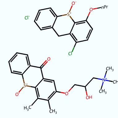 CCCOc1ccc(Cl)c2c1[S+]([O-])c1ccccc1C2.Cc1c(OCC(O)C[N+](C)(C)C)cc2c(=O)c3ccccc3[s+]([O-])c2c1C.[Cl-]